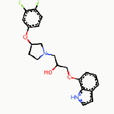 OC(COc1cccc2cc[nH]c12)CN1CCC(Oc2ccc(F)c(F)c2)C1